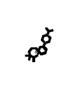 C=C1C[C@]2(C=CC=C(N3CCN(C(C)C)CC3)C2)CCCC1(C)C